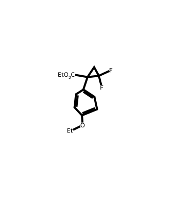 CCOC(=O)C1(c2ccc(OCC)cc2)CC1(F)F